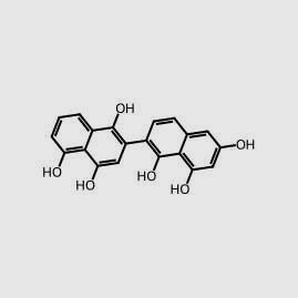 Oc1cc(O)c2c(O)c(-c3cc(O)c4c(O)cccc4c3O)ccc2c1